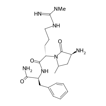 CNC(=N)NCCC[C@@H](C(=O)N[C@@H](Cc1ccccc1)C(N)=O)N1C(=O)[C@@H](N)CC1C